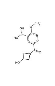 COc1ccc(C(=O)N2CC(O)C2)cc1B(O)O